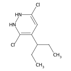 CCC(CC)C1=C(Cl)NNC(Cl)=C1